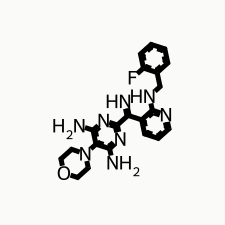 N=C(c1nc(N)c(N2CCOCC2)c(N)n1)c1cccnc1NCc1ccccc1F